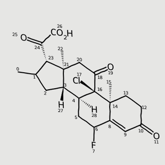 CC1C[C@H]2[C@@H]3CC(F)C4=CC(=O)CC[C@]4(C)[C@@]3(Cl)C(=O)C[C@]2(C)[C@H]1C(=O)C(=O)O